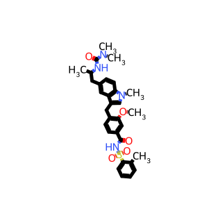 COc1cc(C(=O)NS(=O)(=O)c2ccccc2C)ccc1Cc1cn(C)c2ccc(CC(C)NC(=O)N(C)C)cc12